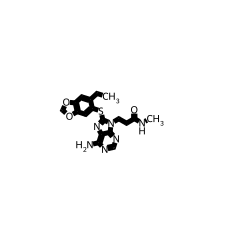 CCc1cc2c(cc1Sc1nc3c(N)ncnc3n1CCC(=O)NC)OCO2